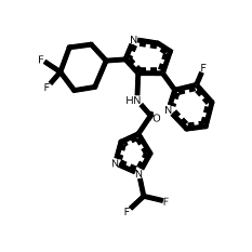 O=C(Nc1c(-c2ncccc2F)ccnc1C1CCC(F)(F)CC1)c1cnn(C(F)F)c1